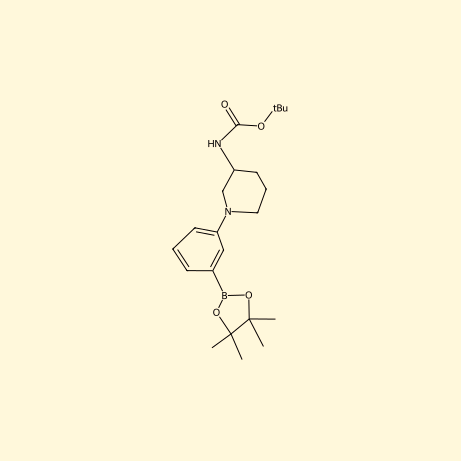 CC(C)(C)OC(=O)NC1CCCN(c2cccc(B3OC(C)(C)C(C)(C)O3)c2)C1